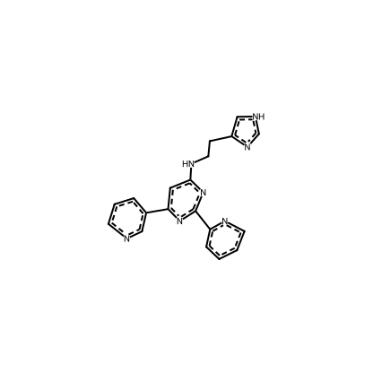 c1ccc(-c2nc(NCCc3c[nH]cn3)cc(-c3cccnc3)n2)nc1